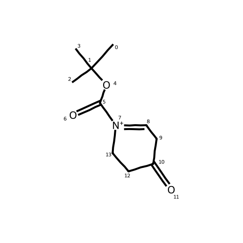 CC(C)(C)OC(=O)[N+]1=CCC(=O)CC1